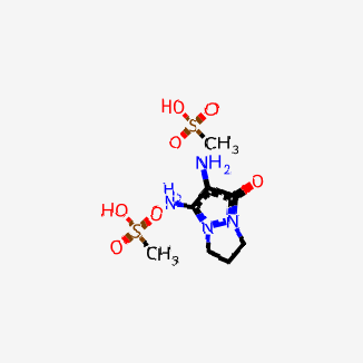 CS(=O)(=O)O.CS(=O)(=O)O.Nc1c(N)n2n(c1=O)CCC2